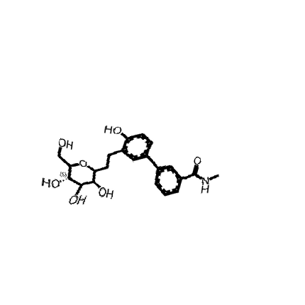 CNC(=O)c1cccc(-c2ccc(O)c(CCC3OC(CO)[C@@H](O)C(O)C3O)c2)c1